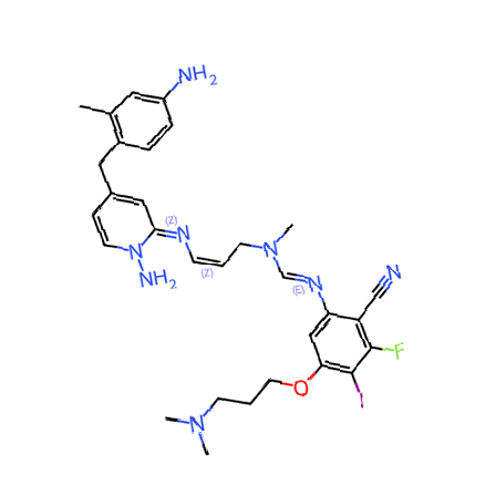 Cc1cc(N)ccc1Cc1ccn(N)/c(=N\C=C/CN(C)/C=N/c2cc(OCCCN(C)C)c(I)c(F)c2C#N)c1